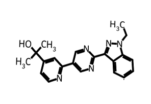 CCn1nc(-c2ncc(-c3cc(C(C)(C)O)ccn3)cn2)c2c[c]ccc21